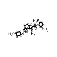 Cc1ccc(Cn2cc3c(n2)-c2c(oc(C(=O)Nc4cc(C)ccc4C)c2C)CC3)cc1